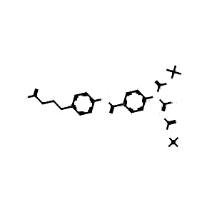 CC(C)(C)OC(=O)N=C(N)N(C(=O)OC(C)(C)C)c1ccc(C(=O)Oc2ccc(CCCC(=O)O)cc2)cc1